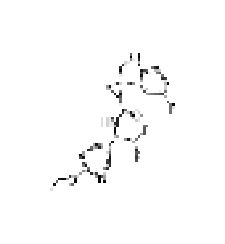 CCOc1ccc([C@@H](NC(=O)C2CC23COc2ccc(F)cc23)C(F)F)cn1